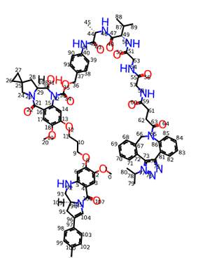 COc1cc2c(cc1OCCCOc1cc3c(cc1OC)C(=O)N1CC4(CC4)C[C@H]1C(O)N3C(=O)OCc1ccc(NC(=O)[C@H](C)NC(=O)[C@@H](NC(=O)CNC(=O)CNC(=O)CCC(=O)N3Cc4ccccc4-c4c(nnn4C(C)C)-c4ccccc43)C(C)C)cc1)NC[C@@H]1CC(c3ccc(C)cc3)=CN1C2=O